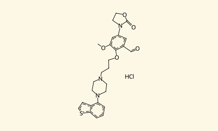 COc1cc(N2CCOC2=O)cc(C=O)c1OCCCN1CCN(c2cccc3sccc23)CC1.Cl